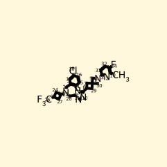 Cc1nc(N2CC3(CC(c4nnc5n4-c4ccc(Cl)cc4CN(C4CC(C(F)(F)F)C4)C5)C3)C2)ccc1F